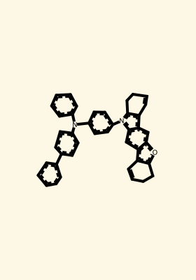 C1=Cc2c(oc3cc4c5c(n(-c6ccc(N(c7ccccc7)c7ccc(-c8ccccc8)cc7)cc6)c4cc23)CCC=C5)CC1